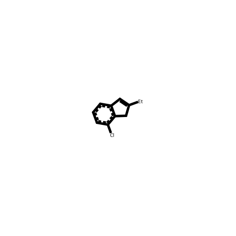 CCC1=Cc2cccc(Cl)c2C1